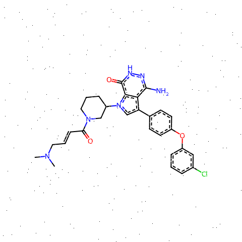 CN(C)CC=CC(=O)N1CCCC(n2cc(-c3ccc(Oc4cccc(Cl)c4)cc3)c3c(N)n[nH]c(=O)c32)C1